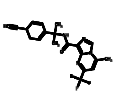 C#CC1C=CC(C(C)(C)NC(=O)c2ncn3c(C)cc(C(F)(F)F)nc23)=CC1